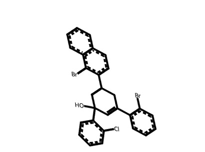 OC1(c2ccccc2Cl)C=C(c2ccccc2Br)CC(c2ccc3ccccc3c2Br)C1